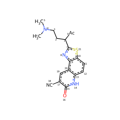 CC(=O)C(CCN(C)C)c1nc2c(ccc3[nH]c(=O)c(C#N)cc32)s1